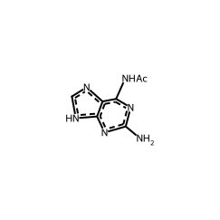 CC(=O)Nc1nc(N)nc2[nH]cnc12